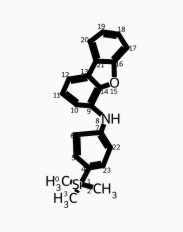 C[Si](C)(C)c1ccc(Nc2cccc3c2oc2ccccc23)cc1